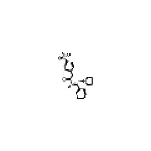 CN(C(=O)Cc1ccc(S(C)(=O)=O)cc1)[C@H](CN1CCCC1)c1ccccc1